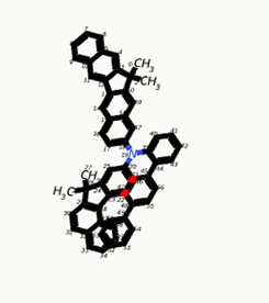 CC1(C)c2cc3ccccc3cc2-c2cc3ccc(N(c4ccc5c(c4)C(C)(C)c4ccc6ccccc6c4-5)c4ccccc4-c4ccc(-c5ccccc5)cc4)cc3cc21